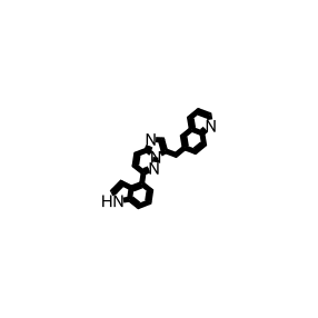 c1cnc2ccc(Cc3cnc4ccc(-c5cccc6[nH]ccc56)nn34)cc2c1